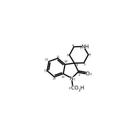 O=C(O)N1C(=O)C2(CCNCC2)c2ccccc21